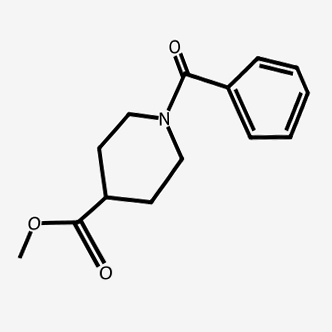 COC(=O)C1CCN(C(=O)c2ccccc2)CC1